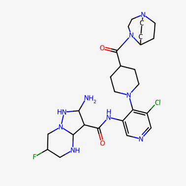 NC1NN2CC(F)CNC2C1C(=O)Nc1cncc(Cl)c1N1CCC(C(=O)N2CCN3CCC2CC3)CC1